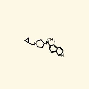 CN(c1ccc2cnccc2c1)C1CCN(CC2CC2)CC1